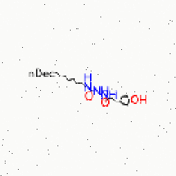 CCCCCCCCCCCCCCCCCCNC(=O)NCNC(=O)CCc1ccc(O)cc1